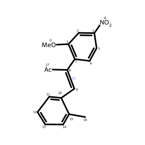 COc1cc([N+](=O)[O-])ccc1/C(=C/c1ccccc1C)C(C)=O